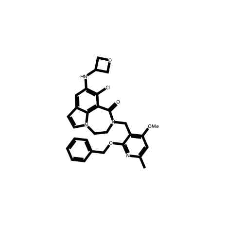 COc1cc(C)nc(OCc2ccccc2)c1CN1CCn2ccc3cc(NC4COC4)c(Cl)c(c32)C1=O